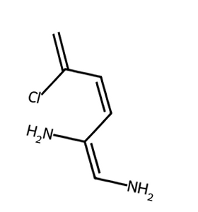 C=C(Cl)/C=C\C(N)=C/N